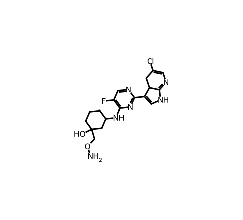 NOCC1(O)CCCC(Nc2nc(C3=CNC4=NC=C(Cl)CC34)ncc2F)C1